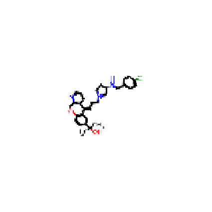 CC(C)(O)C1C=CC2=C(C1)/C(=C/CCN1CC[C@H](NCC3=CC=C(Cl)CC3)C1)C1CCC=NC1CO2